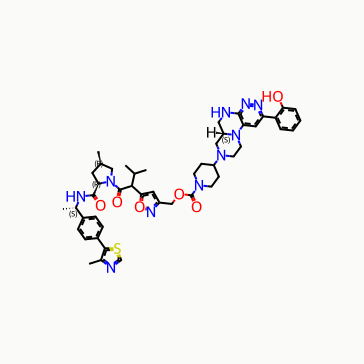 Cc1ncsc1-c1ccc([C@H](C)NC(=O)[C@H]2C[C@@H](C)CN2C(=O)C(c2cc(COC(=O)N3CCC(N4CCN5c6cc(-c7ccccc7O)nnc6NC[C@H]5C4)CC3)no2)C(C)C)cc1